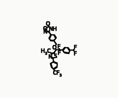 Cc1nc(-c2ccc(C(F)(F)F)cc2)sc1C(OCc1ccc(-c2noc(=O)[nH]2)cc1)C(F)(F)c1ccc(C(F)F)cc1